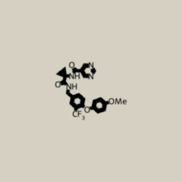 COc1ccc(Oc2ccc(CNC(=O)C3(NC(=O)c4cncnc4)CC3)cc2C(F)(F)F)cc1